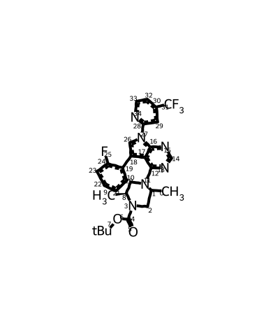 CC1CN(C(=O)OC(C)(C)C)[C@@H](C)CN1c1ncnc2c1c(-c1ccccc1F)cn2-c1cc(C(F)(F)F)ccn1